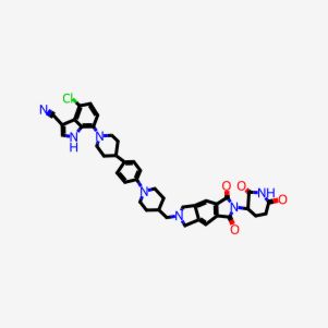 N#Cc1c[nH]c2c(N3CCC(c4ccc(N5CCC(CN6Cc7cc8c(cc7C6)C(=O)N(C6CCC(=O)NC6=O)C8=O)CC5)cc4)CC3)ccc(Cl)c12